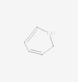 [CH]1C=CC=CN1